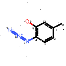 Cc1ccc(N=[N+]=[N-])c([O])c1